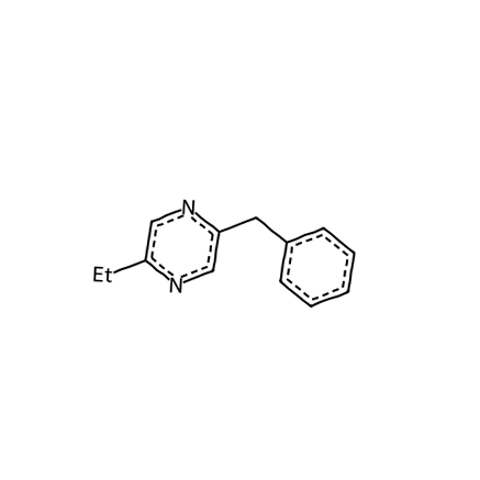 CCc1cnc(Cc2ccccc2)cn1